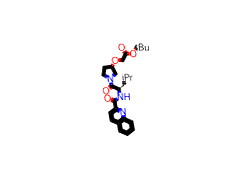 CC(C)C[C@H](NC(=O)c1ccc2ccccc2n1)C(=O)N1CCC(OCC(=O)OC(C)(C)C)C1